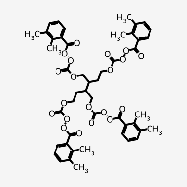 Cc1cccc(C(=O)OOC(=O)OCCC(COC(=O)OOC(=O)c2cccc(C)c2C)C(CCOC(=O)OOC(=O)c2cccc(C)c2C)COC(=O)OOC(=O)c2cccc(C)c2C)c1C